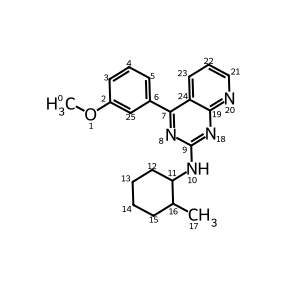 COc1cccc(-c2nc(NC3CCCCC3C)nc3ncccc23)c1